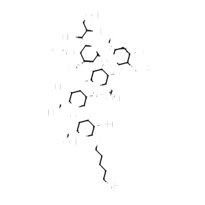 CC(=O)NC1[C@H](O[C@@H]2[C@H](O[C@@]3(C(=O)O)C[C@@H](O)[C@H](NC(C)=O)[C@@H](C(O)C(O)CO)O3)[C@@H](O)[C@H](O[C@H]3[C@H](O)[C@@H](CO)O[C@@H](O[C@H]4[C@@H](O)[C@@H](CO)O[C@@H](OCCCCCN)[C@@H]4O)[C@@H]3NC(C)=O)O[C@@H]2CO)O[C@H](CO)[C@H](O)[C@@H]1O